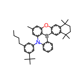 CCCCc1cc(N2c3ccccc3B3c4cc5c(cc4Oc4cc(C)cc2c43)C(C)(C)CCC5(C)C)cc(C(C)(C)C)c1